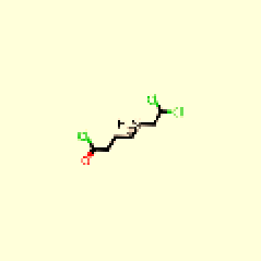 O=C(Cl)CCC[SiH2]CC(Cl)Cl